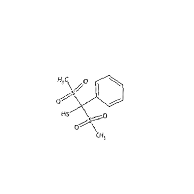 CS(=O)(=O)C(S)(c1ccccc1)S(C)(=O)=O